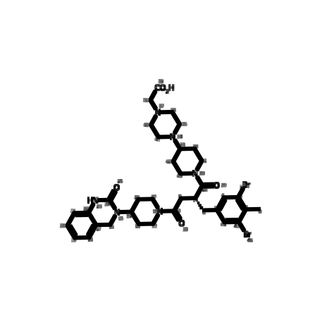 Cc1c(Br)cc(C[C@H](CC(=O)N2CCC(N3Cc4ccccc4NC3=O)CC2)C(=O)N2CCC(N3CCN(CC(=O)O)CC3)CC2)cc1Br